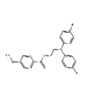 O=C(NCCC(c1ccc(F)cc1)c1ccc(F)cc1)c1ccc(OC(F)(F)F)cc1